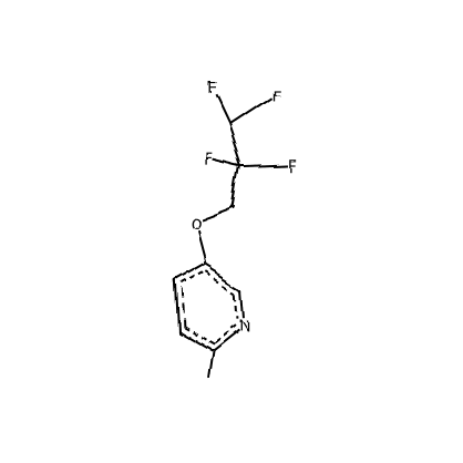 Cc1ccc(OCC(F)(F)C(F)F)cn1